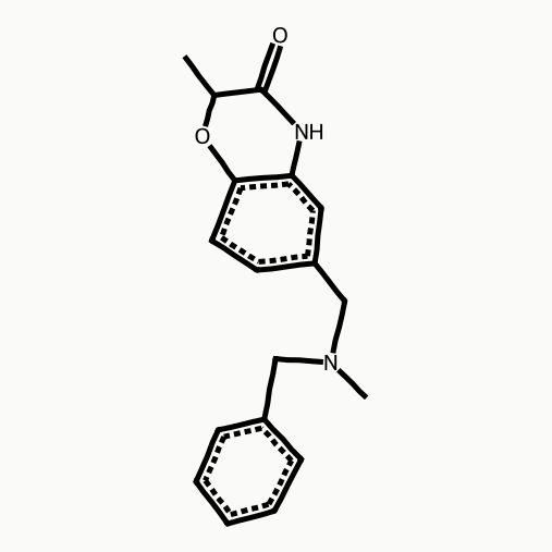 CC1Oc2ccc(CN(C)Cc3ccccc3)cc2NC1=O